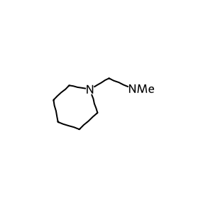 CNCN1CCCCC1